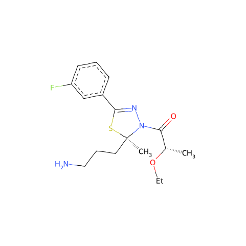 CCO[C@@H](C)C(=O)N1N=C(c2cccc(F)c2)S[C@]1(C)CCCN